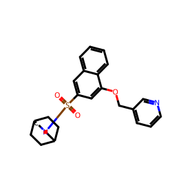 O=S(=O)(c1cc(OCc2cccnc2)c2ccccc2c1)N1CC2CCC(CC2)C1